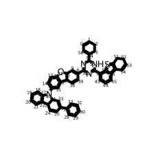 C1=CCCC(C2N=C(C3=CC4Oc5ccc(N6c7ccccc7C7C=CC(c8ccccc8)=CC76)cc5C4C=C3)N=C(c3cccc4c5c(sc34)CCC=C5)N2)=C1